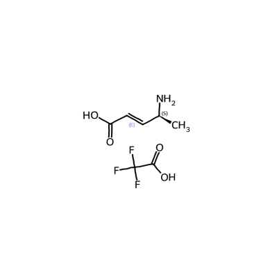 C[C@H](N)/C=C/C(=O)O.O=C(O)C(F)(F)F